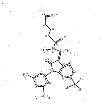 C/C(=C1/C(=O)N(c2cc(C)cc(C)c2)c2cc(C(F)(F)F)ccc21)N(N)C(=O)CCCC(=O)O